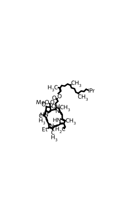 C=Cc1c(C)c2cc3nc(c4c5[nH]c(cc6nc(cc1[nH]2)C(C)=C6CC)c(C)c5C(=O)[C@]4(O)C(=O)OC)[C@@H](CCC(=O)OC/C=C(\C)CCCC(C)CCCC(C)CCCC(C)C)[C@@H]3C